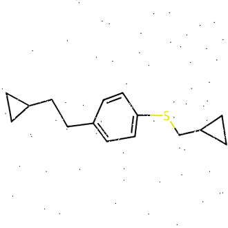 c1cc(SCC2CC2)ccc1CCC1CC1